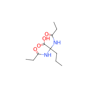 CCCC(NC(=O)CC)(NC(=O)CC)C(=O)O